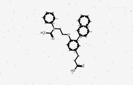 CC(=O)N(CCOc1ccc(CCC(=O)O)cc1-c1ccc2ccccc2c1)c1ccccc1